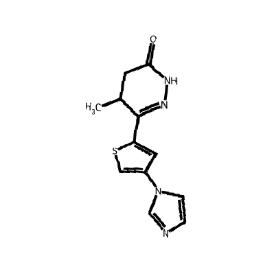 CC1CC(=O)NN=C1c1cc(-n2ccnc2)cs1